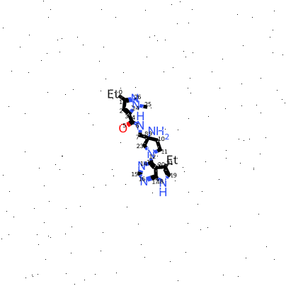 CCc1cc(C(=O)NC[C@@]2(N)CCN(c3ncnc4[nH]cc(CC)c34)C2)n(C)n1